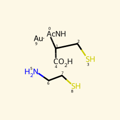 CC(=O)NC(CS)C(=O)O.NCCS.[Au]